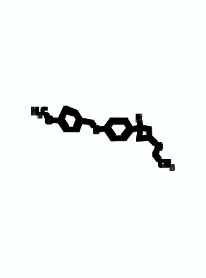 CCOC1CC(F)(c2ccc(SCc3ccc(OC)cc3)cc2)C1